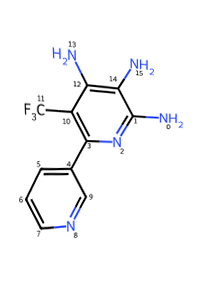 Nc1nc(-c2cccnc2)c(C(F)(F)F)c(N)c1N